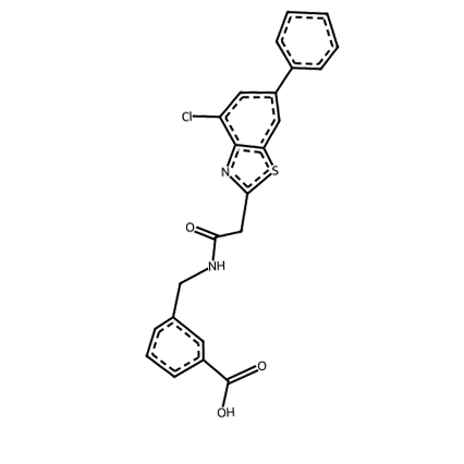 O=C(Cc1nc2c(Cl)cc(-c3ccccc3)cc2s1)NCc1cccc(C(=O)O)c1